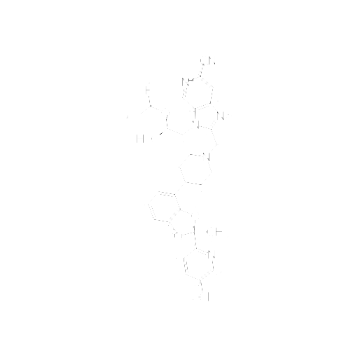 C[C@H](Cn1c(CN2CCC(c3cccc4c3O[C@@](C)(c3ccc(Cl)cn3)O4)CC2)nc2cc(C#N)ncc21)OC(F)F